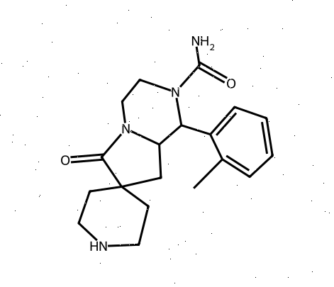 Cc1ccccc1C1C2CC3(CCNCC3)C(=O)N2CCN1C(N)=O